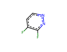 Fc1ccnnc1F